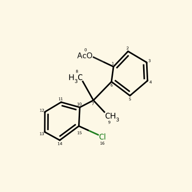 CC(=O)Oc1ccccc1C(C)(C)c1ccccc1Cl